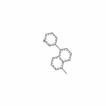 Cc1cccc2c(-c3cccnc3)cccc12